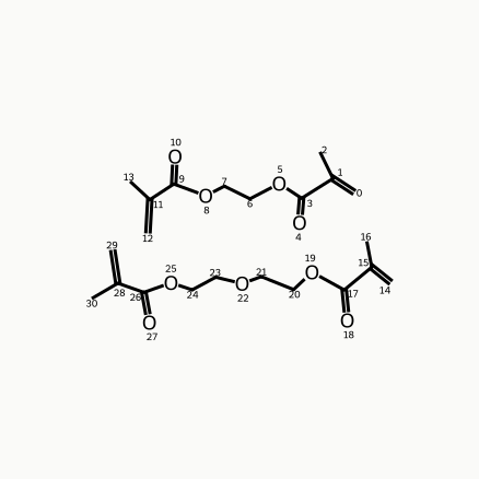 C=C(C)C(=O)OCCOC(=O)C(=C)C.C=C(C)C(=O)OCCOCCOC(=O)C(=C)C